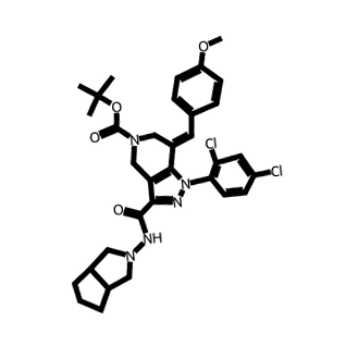 COc1ccc(C=C2CN(C(=O)OC(C)(C)C)Cc3c(C(=O)NN4CC5CCCC5C4)nn(-c4ccc(Cl)cc4Cl)c32)cc1